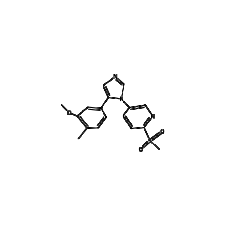 COc1cc(-c2cncn2-c2ccc(S(C)(=O)=O)nc2)ccc1C